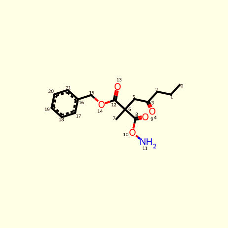 CCCC(=O)CC(C)(C(=O)ON)C(=O)OCc1ccccc1